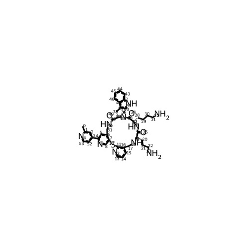 Cc1cc(-c2cc3c(cn2)Sc2ncccc2CN[C@@H](CCCN)C(=O)N[C@@H](CCCCN)C(=O)N(C)[C@@H](Cc2c[nH]c4ccccc24)C(=O)NC3)ccn1